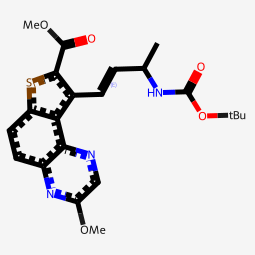 COC(=O)c1sc2ccc3nc(OC)cnc3c2c1/C=C/C(C)NC(=O)OC(C)(C)C